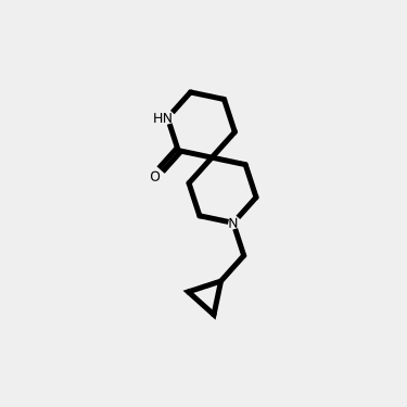 O=C1NCCCC12CCN(CC1CC1)CC2